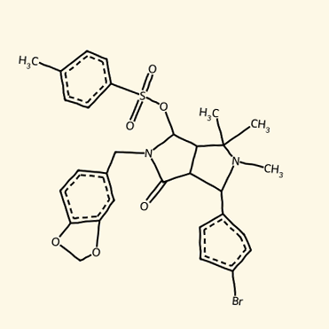 Cc1ccc(S(=O)(=O)OC2C3C(C(=O)N2Cc2ccc4c(c2)OCO4)C(c2ccc(Br)cc2)N(C)C3(C)C)cc1